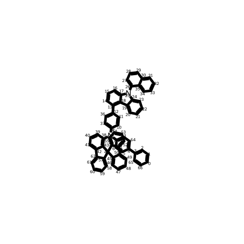 c1ccc(-c2ccc(N(c3ccc(-c4cccc5c4c4ccccc4n5-c4cccc5ccccc45)cc3)c3cccc4c3C3(c5ccccc5-c5ccccc53)c3ccccc3-4)cc2)cc1